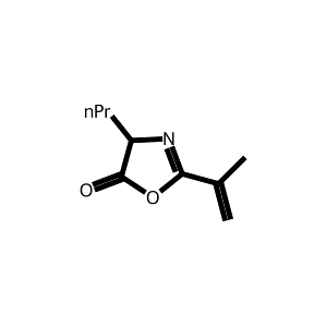 C=C(C)C1=NC(CCC)C(=O)O1